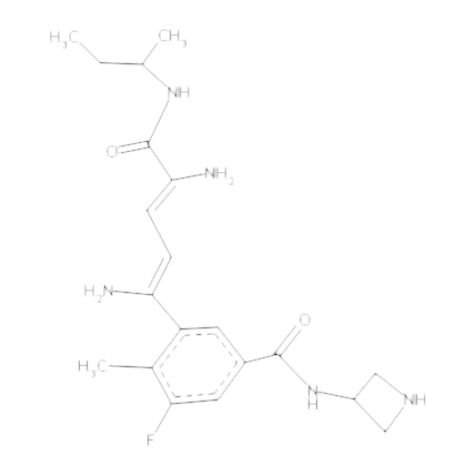 CCC(C)NC(=O)/C(N)=C/C=C(\N)c1cc(C(=O)NC2CNC2)cc(F)c1C